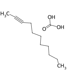 CC#CCCCCCCCC.O=C(O)O